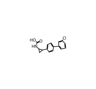 O=C(O)NC1CC1c1ccc(-c2cccc(Cl)c2)cc1